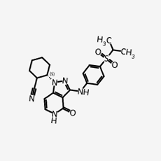 CC(C)S(=O)(=O)c1ccc(Nc2nn([C@H]3CCCCC3C#N)c3cc[nH]c(=O)c23)cc1